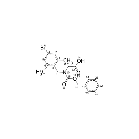 Cc1cc(Br)cc(C)c1CN(CC(=O)O)C(=O)OCc1ccccc1